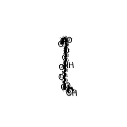 CCC(CO)OC(CCC(=O)CCCC(=O)NCCOCCOCCN1C(=O)C=CC1=O)OC